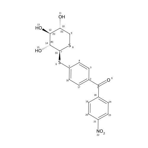 O=C(c1ccc(S[C@@H]2SC[C@@H](O)[C@H](O)[C@H]2O)cc1)c1ccc([N+](=O)[O-])cc1